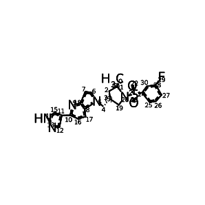 C[C@@H]1C[C@@H](Cn2ccc3nc(-c4cn[nH]c4)ccc32)CN1S(=O)(=O)c1cccc(F)c1